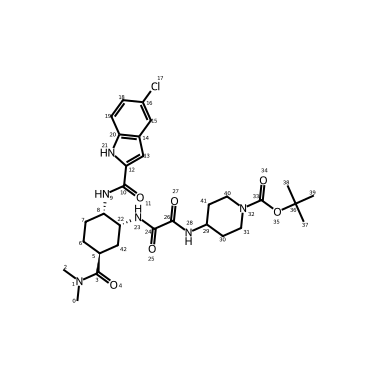 CN(C)C(=O)[C@H]1CC[C@H](NC(=O)c2cc3cc(Cl)ccc3[nH]2)[C@H](NC(=O)C(=O)NC2CCN(C(=O)OC(C)(C)C)CC2)C1